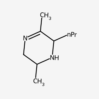 CCCC1NC(C)CN=C1C